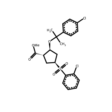 COC(=O)[C@H]1C[C@H](S(=O)(=O)c2ccccc2Cl)C[C@@H]1OC(C)(C)c1ccc(Cl)cc1